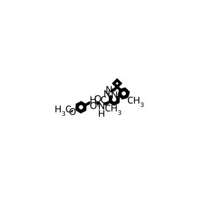 COc1ccc(COC(=O)NC(C)(C)c2cccn3c(C4(c5ccc(C)cc5)CCC4)nnc23)cc1